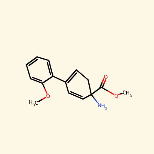 COC(=O)C1(N)C=CC(c2ccccc2OC)=CC1